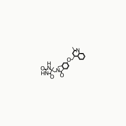 Cc1cc(COc2ccc3c(c2)CN(CC2(C)NC(=O)NC2=O)C3=O)c2ccccc2n1